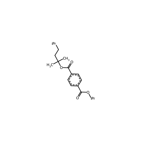 CC(C)CCC(C)(C)OC(=O)c1ccc(C(=O)OC(C)C)cc1